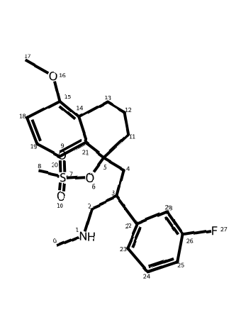 CNCC(CC1(OS(C)(=O)=O)CCCc2c(OC)cccc21)c1cccc(F)c1